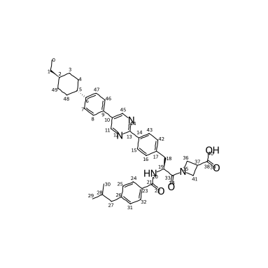 CC[C@H]1CC[C@H](c2ccc(-c3cnc(-c4ccc(C[C@H](NC(=O)c5ccc(CC(C)C)cc5)C(=O)N5CC(C(=O)O)C5)cc4)nc3)cc2)CC1